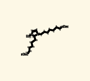 CCCCCCCCCCCCCCCCCN1C=CN(CC)C1CCCCCCCCCCCCCCC